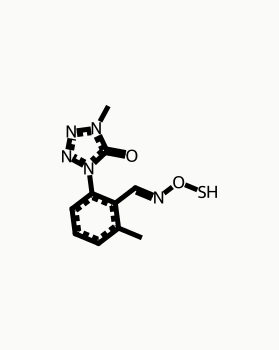 Cc1cccc(-n2nnn(C)c2=O)c1C=NOS